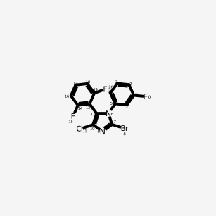 Fc1cccc(-n2c(Br)nc(Cl)c2-c2c(F)cccc2F)c1